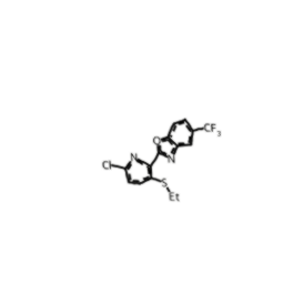 CCSc1ccc(Cl)nc1-c1nc2cc(C(F)(F)F)ccc2o1